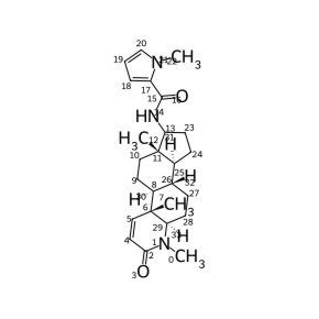 CN1C(=O)C=C[C@]2(C)[C@H]3CC[C@]4(C)C(NC(=O)c5cccn5C)CC[C@H]4[C@@H]3CC[C@@H]12